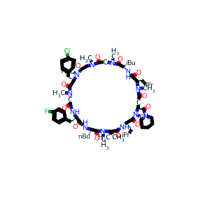 CCCC[C@@H]1NC(=O)[C@H](Cc2ccc(F)cc2)NC(=O)CN(C)C(=O)[C@H](Cc2ccc(Cl)cc2)N(C)C(=O)CN(C)C(=O)CN(C)C(=O)[C@H]([C@@H](C)CC)NC(=O)[C@H](CC(C)C)N(C)C(=O)C[C@@H](C(=O)N2CCCCC2)N(C)C(=O)[C@H](CC(C)C)NC(=O)C(C)(C)N(C)C1=O